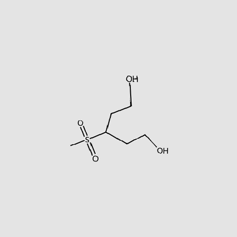 CS(=O)(=O)C(CCO)CCO